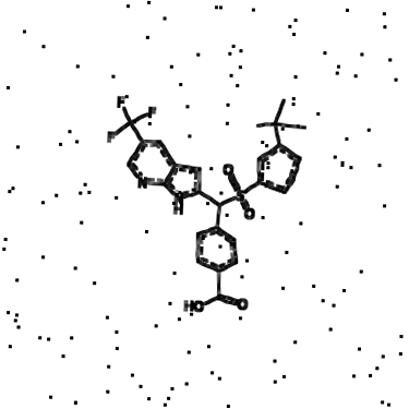 CC(C)(C)c1cccc(S(=O)(=O)C(c2ccc(C(=O)O)cc2)c2cc3cc(C(F)(F)F)cnc3[nH]2)c1